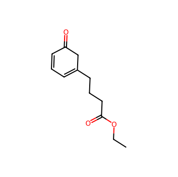 CCOC(=O)CCCC1=CC=CC(=O)C1